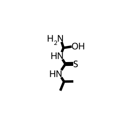 CC(C)NC(=S)NC(N)O